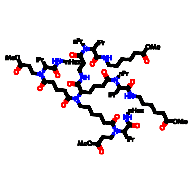 CCCCCCNC(=O)C(C(C)C)N(CCC(=O)OC)C(=O)CCCCCN(C(=O)CCCC(=O)N(CCC(=O)OC)C(C(=O)NCCCCCC)C(C)C)C(CCCC(=O)N(CCC)C(C(=O)NCCCCCC(=O)OC)C(C)C)C(=O)NCCC(=O)N(CCC)C(C(=O)NCCCCCC(=O)OC)C(C)C